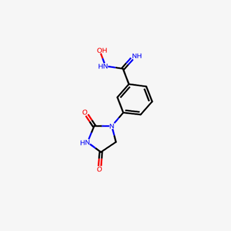 N=C(NO)c1cccc(N2CC(=O)NC2=O)c1